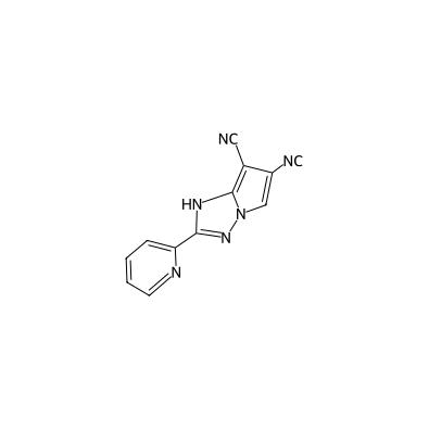 [C-]#[N+]c1cn2nc(-c3ccccn3)[nH]c2c1C#N